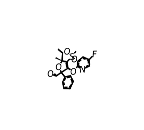 CC[C@@]1(C)OC(C=O)(c2ccccc2)C(Oc2ccc(F)cn2)=C1S(C)(=O)=O